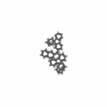 c1ccc2c(c1)-c1ccc(N(c3ccc4ccccc4c3)c3cccc4c3-c3ccccc3C43C4CC5CC(C4)CC3C5)cc1C21CC2CCC1C2